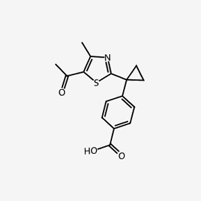 CC(=O)c1sc(C2(c3ccc(C(=O)O)cc3)CC2)nc1C